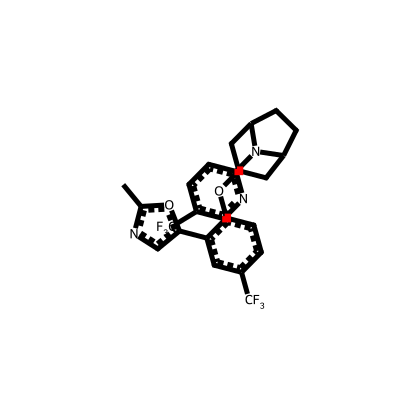 Cc1ncc(-c2cc(C(F)(F)F)ccc2OC2CC3CCC(C2)N3c2ccc(C(F)(F)F)cn2)o1